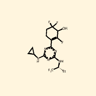 CC[C@@H](Nc1nc(NC2CC2)nc(C2=C(F)C(O)C(F)(F)CC2)n1)C(F)(F)F